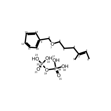 C/C=C(\C)CCCOCc1ccccc1.O=P(O)(O)OP(=O)(O)O